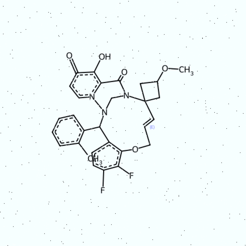 COC1CC2(/C=C/COc3c(ccc(F)c3F)C(c3ccccc3C)N3CN2C(=O)c2c(O)c(=O)ccn23)C1